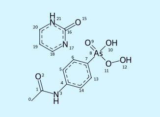 CC(=O)Nc1ccc([As](=O)(O)OO)cc1.O=c1nccc[nH]1